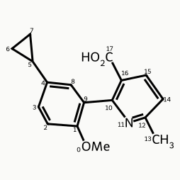 COc1ccc(C2CC2)cc1-c1nc(C)ccc1C(=O)O